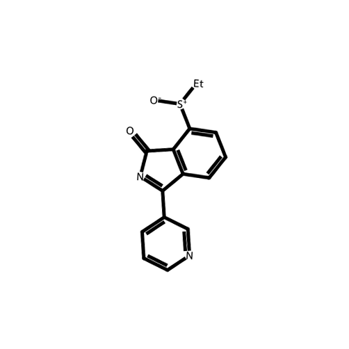 CC[S+]([O-])c1cccc2c1C(=O)N=C2c1cccnc1